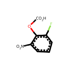 O=C(O)Oc1c(F)cccc1[N+](=O)[O-]